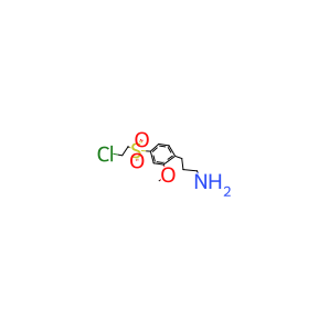 COc1cc(S(=O)(=O)CCCl)ccc1CCCN